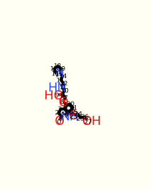 O=C1CCc2c(OCC(O)CNCCCN3CCCC3)ccc(OCCCO)c2N1